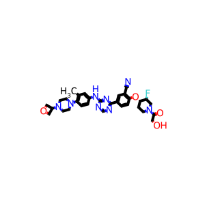 Cc1cc(Nc2ncnc(-c3ccc(O[C@H]4CCN(C(=O)CO)CC4F)c(C#N)c3)n2)ccc1N1CCN(C2COC2)CC1